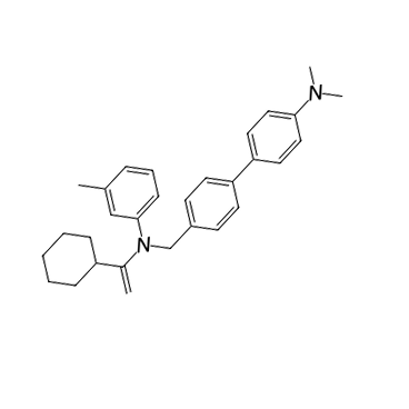 C=C(C1CCCCC1)N(Cc1ccc(-c2ccc(N(C)C)cc2)cc1)c1cccc(C)c1